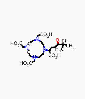 CCC(C)(C)C(=O)CCC(C(=O)O)N1CCN(CC(=O)O)CCN(CC(=O)O)CCN(CC(=O)O)CC1